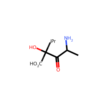 CC(N)C(=O)C(O)(C(=O)O)C(C)C